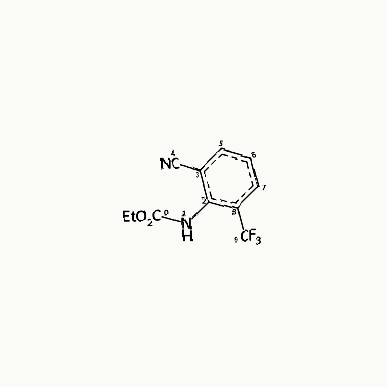 CCOC(=O)Nc1c(C#N)cccc1C(F)(F)F